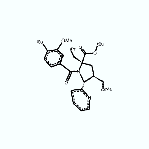 COC[C@@H]1C[C@@](CC(C)C)(C(=O)OC(C)(C)C)N(C(=O)c2ccc(C(C)(C)C)c(OC)c2)[C@H]1c1ccccn1